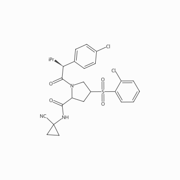 CC(C)[C@H](C(=O)N1CC(S(=O)(=O)c2ccccc2Cl)CC1C(=O)NC1(C#N)CC1)c1ccc(Cl)cc1